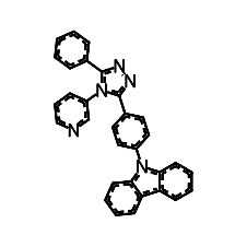 c1ccc(-c2nnc(-c3ccc(-n4c5ccccc5c5ccccc54)cc3)n2-c2cccnc2)cc1